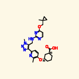 Cc1nc(-c2nnn(C)c2CNc2nccc(OCC3(C)CC3)n2)ccc1O[C@H]1CCC[C@H](C(=O)O)C1